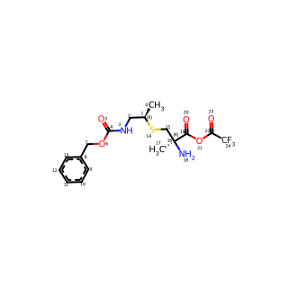 C[C@H](CNC(=O)OCc1ccccc1)SC[C@](C)(N)C(=O)OC(=O)C(F)(F)F